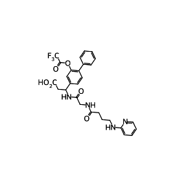 O=C(O)CC(NC(=O)CNC(=O)CCCNc1ccccn1)c1ccc(-c2ccccc2)c(OC(=O)C(F)(F)F)c1